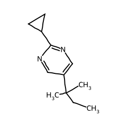 CCC(C)(C)c1cnc(C2CC2)nc1